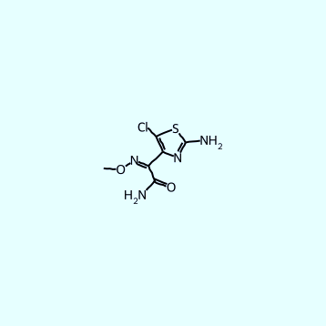 CO/N=C(\C(N)=O)c1nc(N)sc1Cl